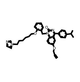 C#CCOc1ccc2c(c1)c(-c1ccc(C(C)C)cc1)nc(=O)n2Cc1ccccc1OCCCCCCn1ccnc1